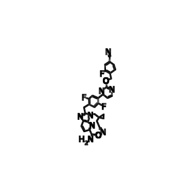 N#CCC1(Cn2c(Cc3cc(F)c(-c4ccnc(OCc5ccc(C#N)cc5F)n4)cc3F)nc3ccc(C(N)=O)nc32)CC1